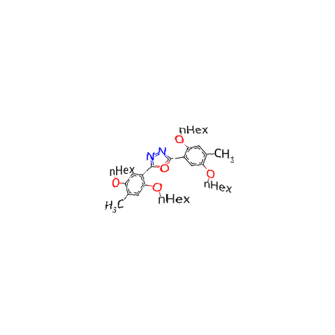 CCCCCCOc1cc(-c2nnc(-c3cc(OCCCCCC)c(C)cc3OCCCCCC)o2)c(OCCCCCC)cc1C